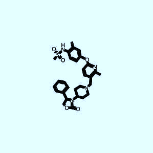 Cc1cc(Oc2ccc(CN3CCC(N4C(=O)OCC4c4ccccc4)CC3)c(C)n2)ccc1NS(C)(=O)=O